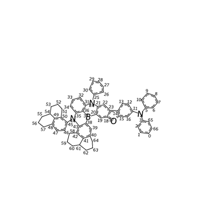 c1ccc(N(c2ccccc2)c2ccc3c(c2)oc2cc4c(cc23)N(c2ccccc2)c2cccc3c2B4c2cc4c5c(c2N3c2ccc3c6c2CCCC6CCC3)CCCC5CCC4)cc1